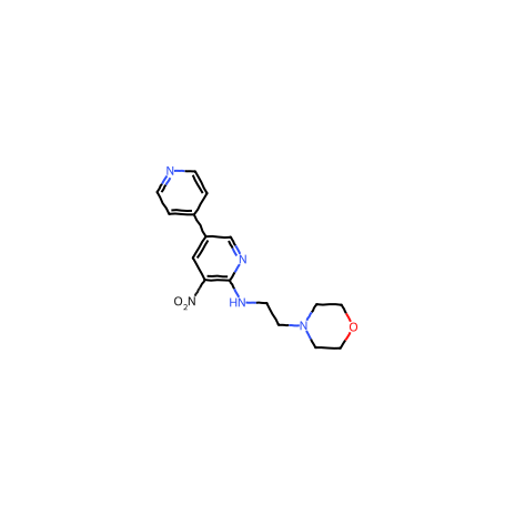 O=[N+]([O-])c1cc(-c2ccncc2)cnc1NCCN1CCOCC1